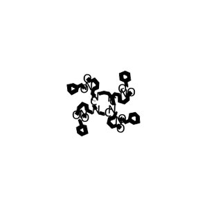 O=c1cccc(CN2CCCN(Cc3cccc(=O)n3OCc3ccccc3)CCN(Cc3cccc(=O)n3OCc3ccccc3)CCCN(Cc3cccc(=O)n3OCc3ccccc3)CC2)n1OCc1ccccc1